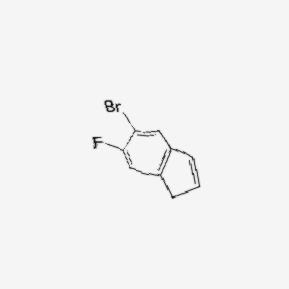 Fc1cc2c(cc1Br)C=CC2